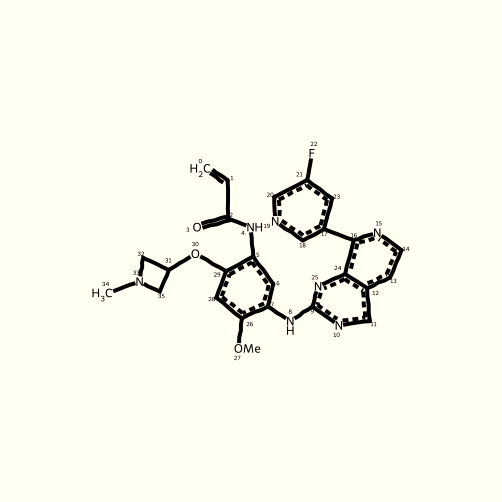 C=CC(=O)Nc1cc(Nc2ncc3ccnc(-c4cncc(F)c4)c3n2)c(OC)cc1OC1CN(C)C1